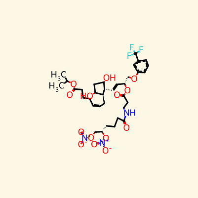 CC(C)OC(=O)CCC/C=C\C[C@@H]1[C@@H](/C=C/[C@H](COc2cccc(C(F)(F)F)c2)OC(=O)CCNC(=O)CCC[C@@H](CO[N+](=O)[O-])O[N+](=O)[O-])[C@H](O)C[C@@H]1O